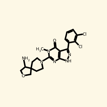 Cn1c(N2CCC3(CC2)COCC3N)nc2[nH]nc(-c3cccc(Cl)c3Cl)c2c1=O